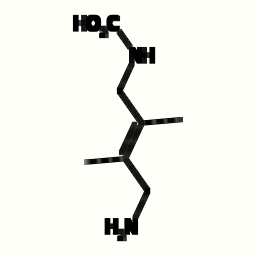 C/C(CN)=C(/C)CNC(=O)O